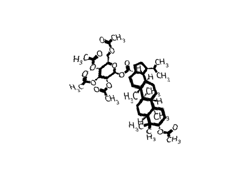 CC(=O)OC[C@H]1O[C@@H](OC(=O)[C@]23CC[C@@H](C(C)C)[C@@H]2[C@H]2CC[C@@H]4[C@@]5(C)CC[C@H](OC(C)=O)C(C)(C)[C@@H]5CC[C@@]4(C)[C@]2(C)CC3)[C@H](OC(C)=O)[C@@H](OC(C)=O)[C@@H]1OC(C)=O